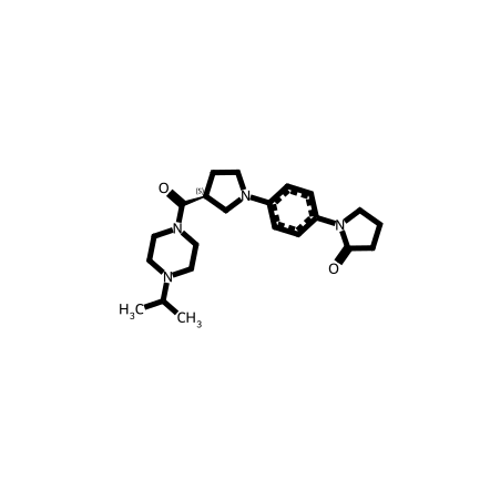 CC(C)N1CCN(C(=O)[C@H]2CCN(c3ccc(N4CCCC4=O)cc3)C2)CC1